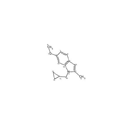 COc1ccc2cc(C)n(CC3CC3)c2c1